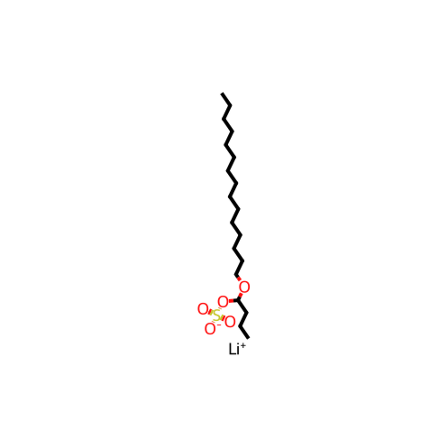 CCCCCCCCCCCCCCCOC(CCC)OS(=O)(=O)[O-].[Li+]